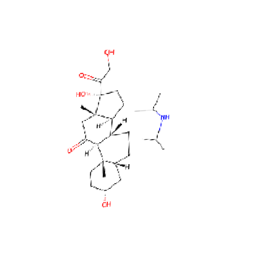 CC(C)NC(C)C.C[C@]12CC[C@@H](O)C[C@H]1CC[C@@H]1[C@@H]2C(=O)C[C@@]2(C)[C@H]1CC[C@]2(O)C(=O)CO